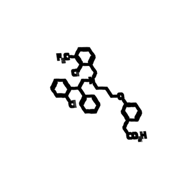 O=C(O)Cc1cccc(OCCCN(Cc2cccc(C(F)(F)F)c2Cl)CC(c2ccccc2)c2ccccc2Cl)c1